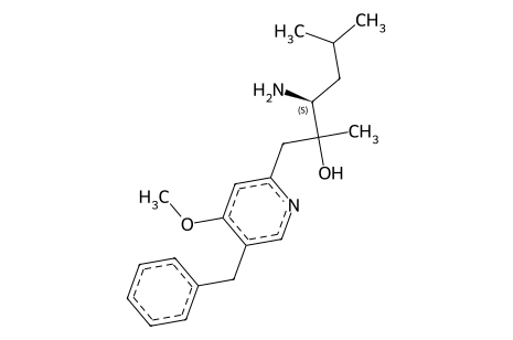 COc1cc(CC(C)(O)[C@@H](N)CC(C)C)ncc1Cc1ccccc1